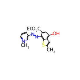 CCOC(=O)c1cc(O)c2cc(C)sc2c1/N=N/c1ccc[n+](C)c1